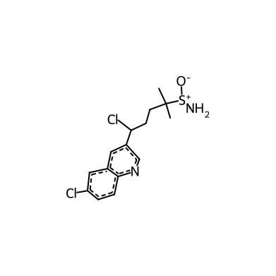 CC(C)(CCC(Cl)c1cnc2ccc(Cl)cc2c1)[S@@+](N)[O-]